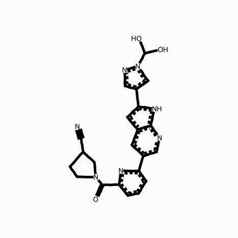 N#CC1CCN(C(=O)c2cccc(-c3cnc4[nH]c(-c5cnn(C(O)O)c5)cc4c3)n2)C1